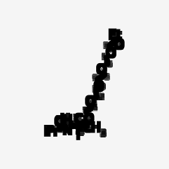 CCC(=O)COCCOCCOCCOCCOC(C)(C)C(F)CNC(=O)C(C)C